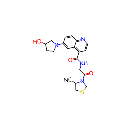 N#CC1CSCN1C(=O)CNC(=O)c1ccnc2ccc(N3CCC(O)C3)cc12